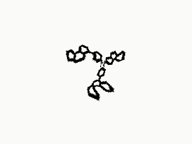 c1ccc2c(c1)ccc1cc(N(c3ccc(-c4cccc5c4ccc4ccccc45)cc3)c3ccc(-c4cc5ccccc5c5ccccc45)cc3)ccc12